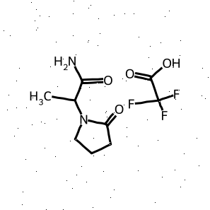 CC(C(N)=O)N1CCCC1=O.O=C(O)C(F)(F)F